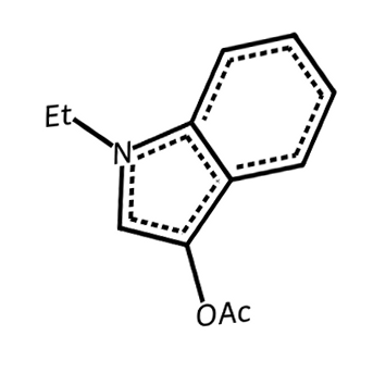 CCn1cc(OC(C)=O)c2ccccc21